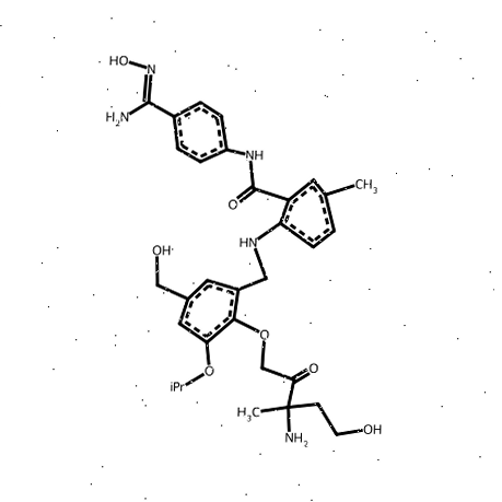 Cc1ccc(NCc2cc(CO)cc(OC(C)C)c2OCC(=O)C(C)(N)CCO)c(C(=O)Nc2ccc(/C(N)=N/O)cc2)c1